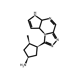 C[C@@H]1C[C@H](N)C[C@@H]1c1nnc2n1C1C=CNC1N=C2